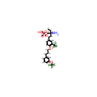 CCC(N)(CCc1ccc(OCCCc2cccc(OC(F)(F)F)c2)c(C(F)(F)F)c1)C1OP(=O)(O)O1